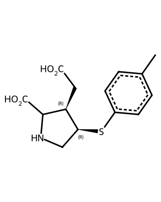 Cc1ccc(S[C@H]2CNC(C(=O)O)[C@H]2CC(=O)O)cc1